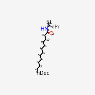 CCCCCCCCCCCCCCCCCCCCCC(=O)NC(CC)CCC